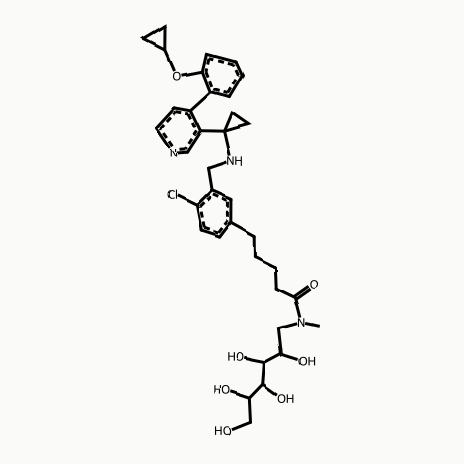 CN(CC(O)C(O)C(O)C(O)CO)C(=O)CCCCc1ccc(Cl)c(CNC2(c3cnccc3-c3ccccc3OC3CC3)CC2)c1